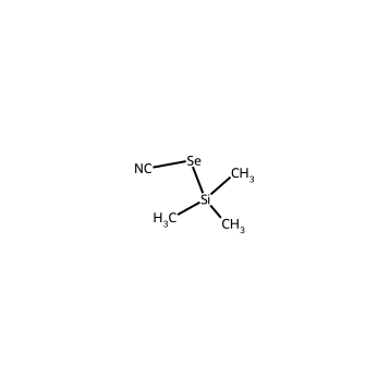 C[Si](C)(C)[Se]C#N